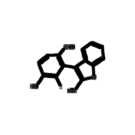 CCCCc1oc2ccccc2c1-c1c(C=O)ccc(O)c1I